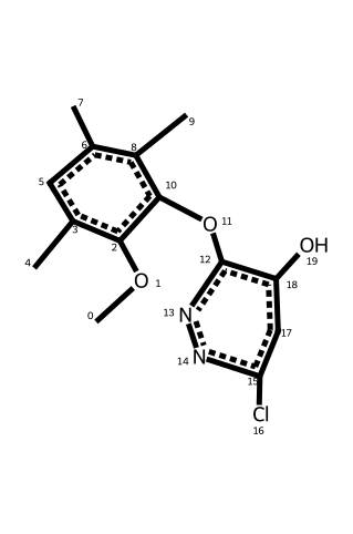 COc1c(C)cc(C)c(C)c1Oc1nnc(Cl)cc1O